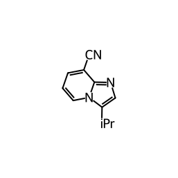 CC(C)c1cnc2c(C#N)cccn12